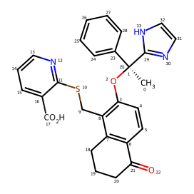 C[C@](Oc1ccc2c(c1CSc1ncccc1C(=O)O)CCCC2=O)(c1ccccc1)c1ncc[nH]1